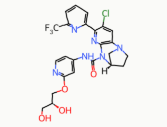 O=C(Nc1ccnc(OC[C@@H](O)CO)c1)N1c2nc(-c3cccc(C(F)(F)F)n3)c(Cl)cc2N2CC[C@H]1C2